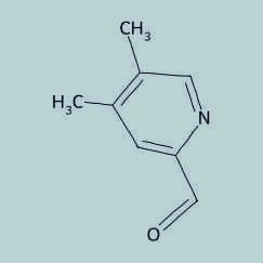 Cc1cnc(C=O)cc1C